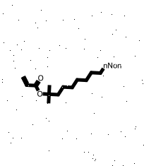 C=CC(=O)OC(C)(C)CCCCCCCCCCCCCCCC